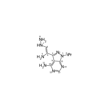 CC(C)n1nc(/C(N)=C/NN)c2c(N)ncnc21